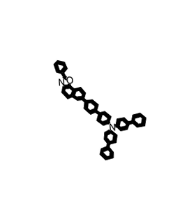 c1ccc(-c2ccc(N(c3ccc(-c4ccccc4)cc3)c3ccc(-c4ccc(-c5ccc6c(ccc7nc(-c8ccccc8)oc76)c5)cc4)cc3)cc2)cc1